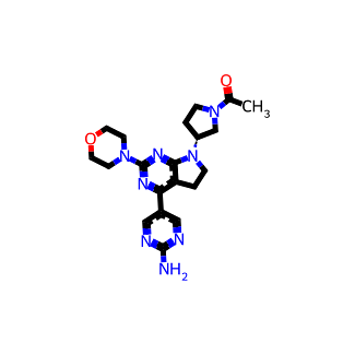 CC(=O)N1CC[C@@H](N2CCc3c(-c4cnc(N)nc4)nc(N4CCOCC4)nc32)C1